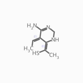 C/C=C1/C(N)=NCN/C1=C(\C)S